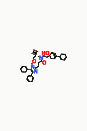 CN(CCC1(O)CC2CCC1C=C2c1ccccc1)C(=O)CCc1nc(-c2ccccc2)c(-c2ccccc2)n1COCC[Si](C)(C)C